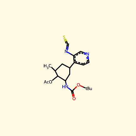 CC(=O)OC1C(C)CC(c2ccncc2N=C=S)CC1NC(=O)OC(C)(C)C